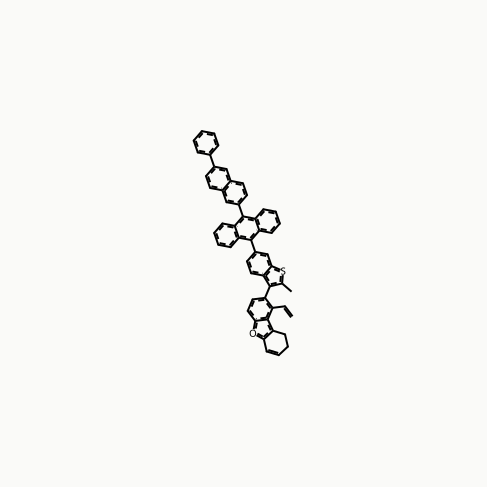 C=Cc1c(-c2c(C)sc3cc(-c4c5ccccc5c(-c5ccc6cc(-c7ccccc7)ccc6c5)c5ccccc45)ccc23)ccc2oc3c(c12)CCC=C3